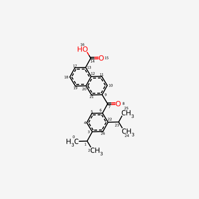 CC(C)c1ccc(C(=O)c2ccc3c(C(=O)O)cccc3c2)c(C(C)C)c1